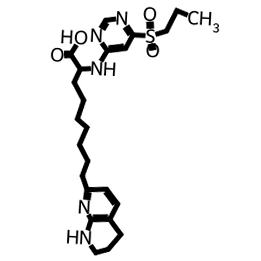 CCCS(=O)(=O)c1cc(NC(CCCCCCCc2ccc3c(n2)NCCC3)C(=O)O)ncn1